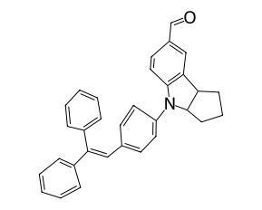 O=Cc1ccc2c(c1)C1CCCC1N2c1ccc(C=C(c2ccccc2)c2ccccc2)cc1